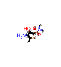 Cc1sc(S(=O)(=O)N(C)C)c(O)c1N